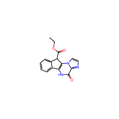 CCOC(=O)C1c2ccccc2-c2[nH]c(=O)c3nccn3c21